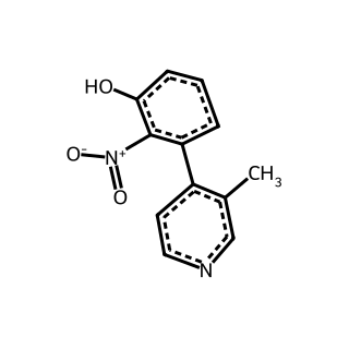 Cc1cnccc1-c1cccc(O)c1[N+](=O)[O-]